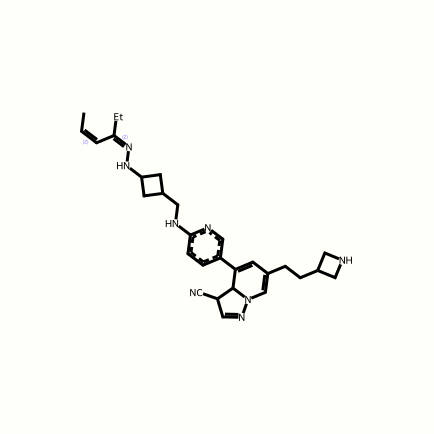 C/C=C\C(CC)=N/NC1CC(CNc2ccc(C3=CC(CCC4CNC4)=CN4N=CC(C#N)C34)cn2)C1